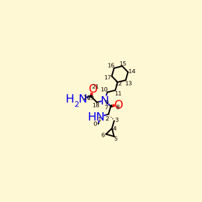 CN[C@@H](CC1CC1)C(=O)N(CCC1CCCCC1)CC(N)=O